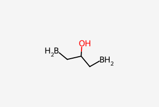 BCC(O)CB